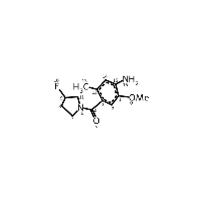 COc1cc(C(=O)N2CCC(F)C2)c(C)cc1N